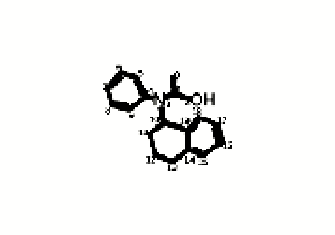 CC(O)N(c1ccccc1)C1CCCc2ccccc21